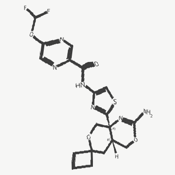 NC1=N[C@@]2(c3nc(NC(=O)c4cnc(OC(F)F)cn4)cs3)COC3(CCC3)C[C@H]2CO1